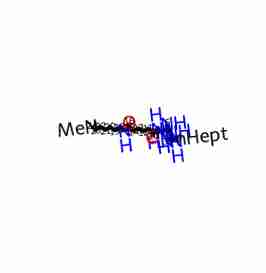 CCCCCCCNC(=N)NC(=N)NNC(=O)CCCCC(=O)NCCCCCCNC